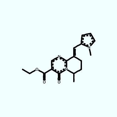 CCOC(=O)c1cnc2n(c1=O)C(C)CCC2=Cc1cccn1C